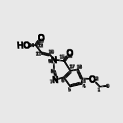 CCOc1ccc2ncn(C=CC(=O)O)c(=O)c2c1